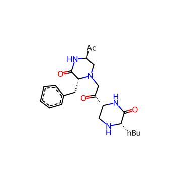 CCCC[C@@H]1NC[C@H](C(=O)CN2C[C@H](C(C)=O)NC(=O)[C@H]2Cc2ccccc2)NC1=O